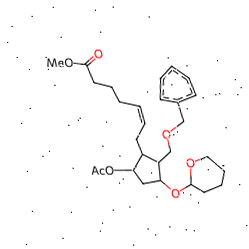 COC(=O)CCC/C=C\CC1C(OC(C)=O)CC(OC2CCCCO2)C1COCc1ccccc1